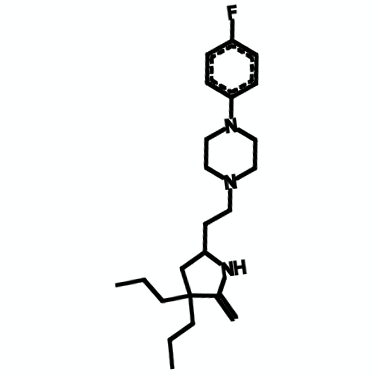 C=C1NC(CCN2CCN(c3ccc(F)cc3)CC2)CC1(CCC)CCC